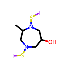 CC1CN(SI)CC(O)CN1SI